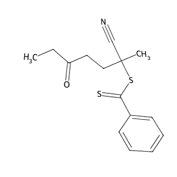 CCC(=O)CCC(C)(C#N)SC(=S)c1ccccc1